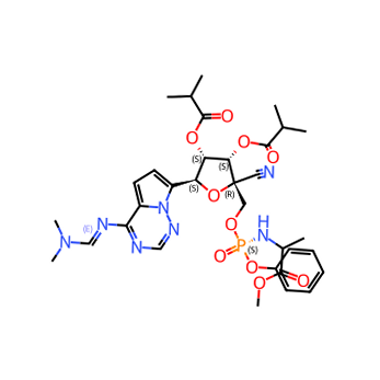 COC(=O)C(C)N[P@](=O)(OC[C@@]1(C#N)O[C@@H](c2ccc3c(/N=C/N(C)C)ncnn23)[C@H](OC(=O)C(C)C)[C@@H]1OC(=O)C(C)C)Oc1ccccc1